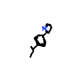 CCC(C)c1ccc(-c2ccccn2)cc1